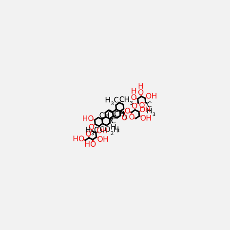 CC1OC(OC2C(OC(=O)C34CCC(C)(C)CC3C3=CCC5C6(C)CC(O)C(OC7OC(CO)C(O)C(O)C7O)C(C)(C(=O)O)C6CCC5(C)C3(C)CC4)OCC(O)C2O)C(O)C(O)C1O